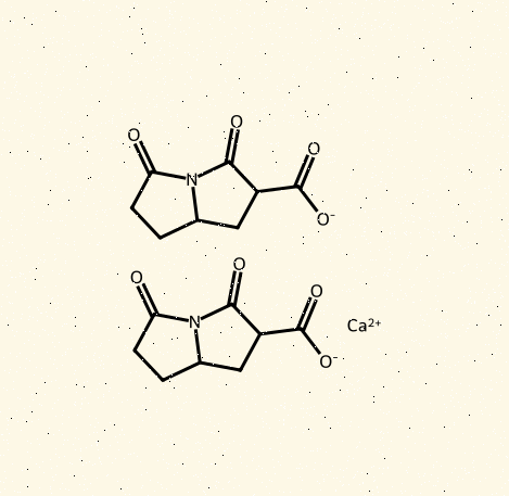 O=C([O-])C1CC2CCC(=O)N2C1=O.O=C([O-])C1CC2CCC(=O)N2C1=O.[Ca+2]